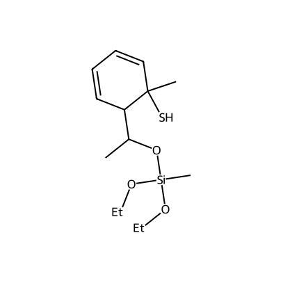 CCO[Si](C)(OCC)OC(C)C1C=CC=CC1(C)S